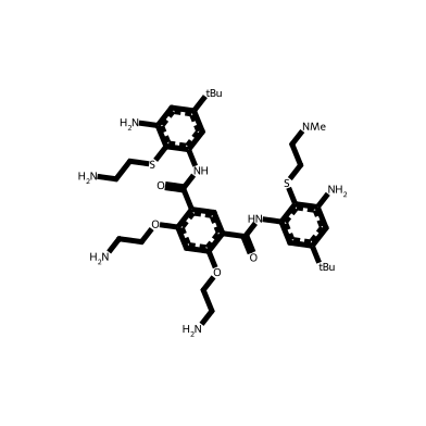 CNCCSc1c(N)cc(C(C)(C)C)cc1NC(=O)c1cc(C(=O)Nc2cc(C(C)(C)C)cc(N)c2SCCN)c(OCCN)cc1OCCN